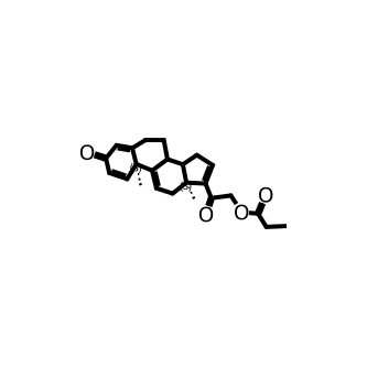 CCC(=O)OCC(=O)C1=CCC2C3CCC4=CC(=O)C=C[C@]4(C)C3=CC[C@]12C